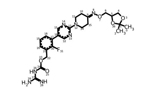 CC1(C)OCC(CON=C2CCN(c3ncc(-c4cccc(COC(=O)NC(=N)N)c4F)cn3)CC2)O1